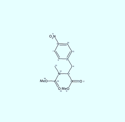 COC(=O)C(Cc1ccc([N+](=O)[O-])cc1)N(C)C(=O)OC